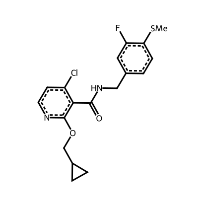 CSc1ccc(CNC(=O)c2c(Cl)ccnc2OCC2CC2)cc1F